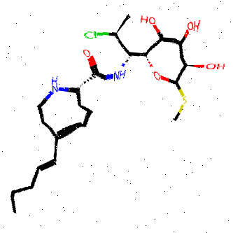 CCC/C=C/C1=CC[C@@H](C(=O)N[C@H]([C@H](C)Cl)[C@H]2OC(SC)[C@H](O)C(O)C2O)NCC1